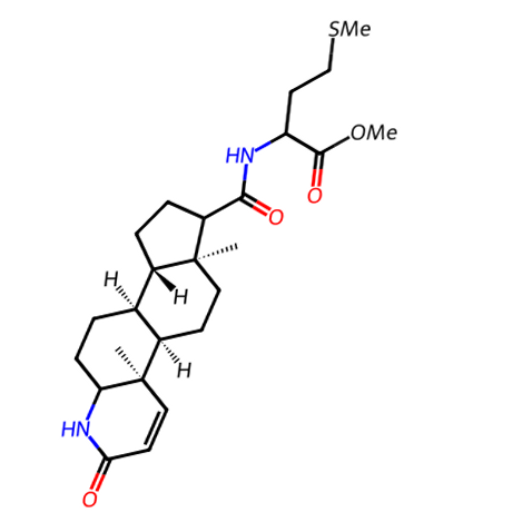 COC(=O)C(CCSC)NC(=O)C1CC[C@H]2[C@@H]3CCC4NC(=O)C=C[C@]4(C)[C@@H]3CC[C@]12C